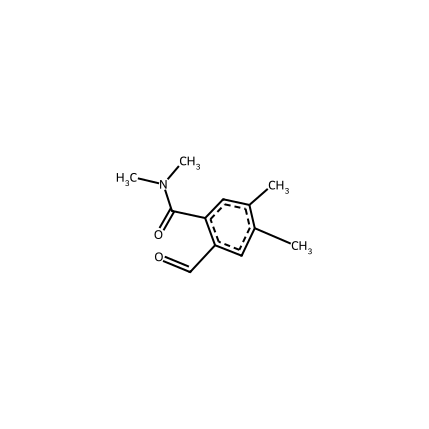 Cc1cc(C=O)c(C(=O)N(C)C)cc1C